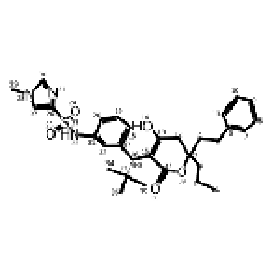 CCCC1(CCc2ccccc2)CC(O)=C([C@@H](c2cccc(NS(=O)(=O)c3cn(C)cn3)c2)C(C)(C)C)C(=O)O1